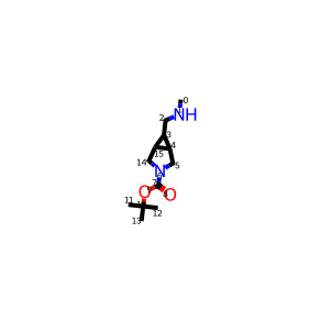 CNCC1C2CN(C(=O)OC(C)(C)C)CC12